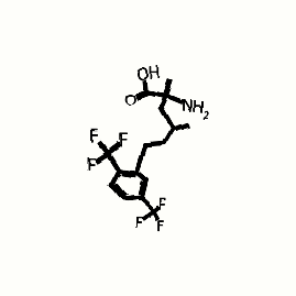 CC(CCc1cc(C(F)(F)F)ccc1C(F)(F)F)CC(C)(N)C(=O)O